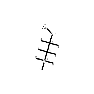 CC(=O)SC(C)(C)C(C)(C)[Si](C)(C)C